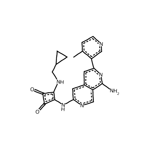 Cc1ccncc1-c1cc2cc(Nc3c(NCC4CC4)c(=O)c3=O)ncc2c(N)n1